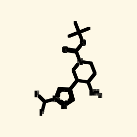 CC(C)(C)OC(=O)N1CCC(N)C(c2cnn(C(F)F)c2)C1